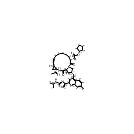 CC(=O)[C@@]12C[C@H]1/C=C\CCCCC[C@H](NC(=O)OC1CCCC1)C(=O)N1C[C@H](Oc3cc(-c4csc(NC(C)C)n4)nc4cc(C)ccc34)C[C@H]1C(=O)N2